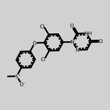 C[S+]([O-])c1ccc(Oc2c(Cl)cc(-n3ncc(=O)[nH]c3=O)cc2Cl)cc1